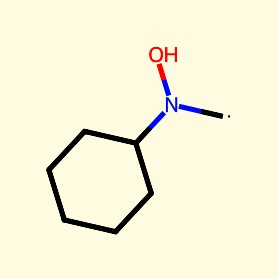 [CH2]N(O)C1CCCCC1